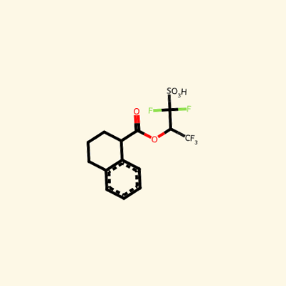 O=C(OC(C(F)(F)F)C(F)(F)S(=O)(=O)O)C1CCCc2ccccc21